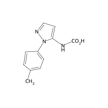 Cc1ccc(-n2nccc2NC(=O)O)cc1